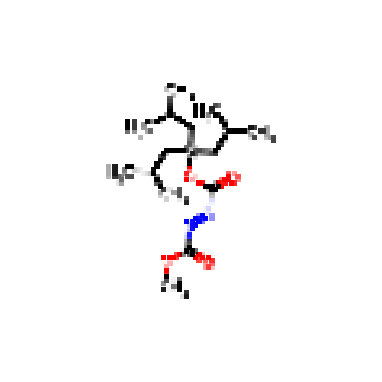 COC(=O)N=NC(=O)O[Si](CC(C)C)(CC(C)C)CC(C)C